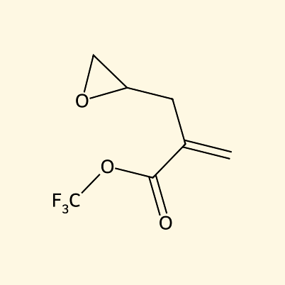 C=C(CC1CO1)C(=O)OC(F)(F)F